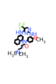 COc1ccc(NC(=O)/C=C/CN(C)C)cc1Nc1ncc(C(F)(F)F)c(Nc2ccc3ccccc3c2)n1